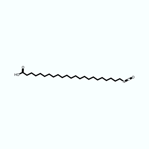 O=C=NCCCCCCCCCCCCCCCCCCCCCCC(=O)O